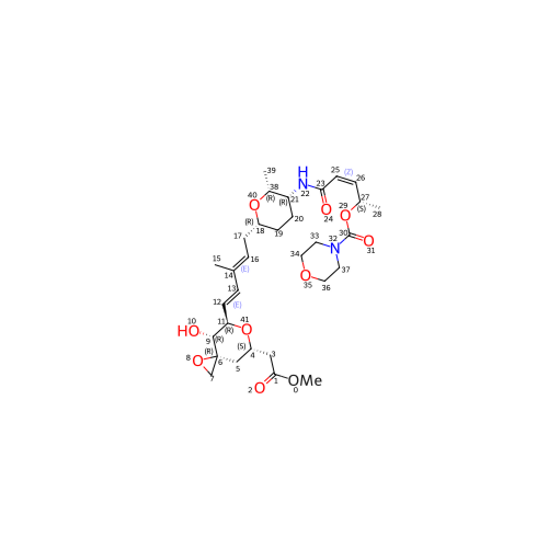 COC(=O)C[C@@H]1C[C@@]2(CO2)[C@H](O)[C@@H](/C=C/C(C)=C/C[C@H]2CC[C@@H](NC(=O)/C=C\[C@H](C)OC(=O)N3CCOCC3)[C@@H](C)O2)O1